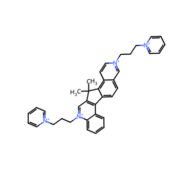 CC1(C)c2c[n+](CCC[n+]3ccccc3)c3ccccc3c2-c2ccc3c[n+](CCC[n+]4ccccc4)ccc3c21